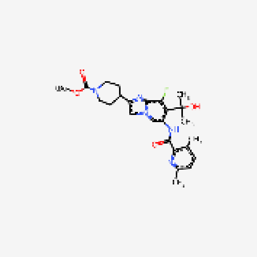 Cc1ccc(C(F)(F)F)nc1C(=O)Nc1cn2cc(C3CCN(C(=O)OC(C)(C)C)CC3)nc2c(F)c1C(C)(C)O